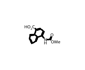 COC(=O)Nc1ccc(C(=O)O)c2ccccc12